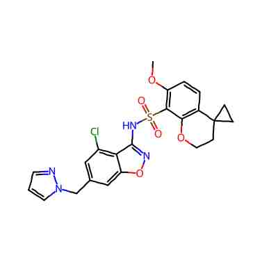 COc1ccc2c(c1S(=O)(=O)Nc1noc3cc(Cn4cccn4)cc(Cl)c13)OCCC21CC1